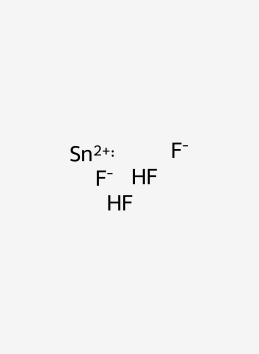 F.F.[F-].[F-].[Sn+2]